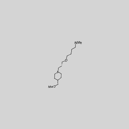 CNCCCCOCCCN1CCC(COC)CC1